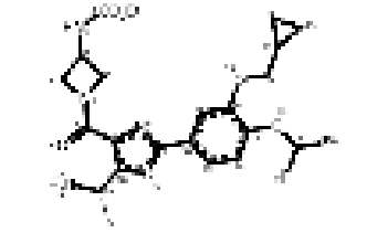 CCOC(=O)NC1CN(C(=O)c2nc(-c3ccc(OC(F)F)c(OCC4CC4)c3)oc2[C@H](C)N)C1